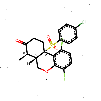 C[C@H]1C(=O)CC[C@]2(S(=O)(=O)c3ccc(Cl)cc3)c3c(F)ccc(F)c3OC[C@H]12